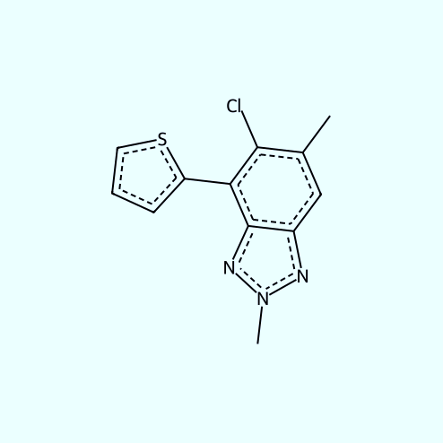 Cc1cc2nn(C)nc2c(-c2cccs2)c1Cl